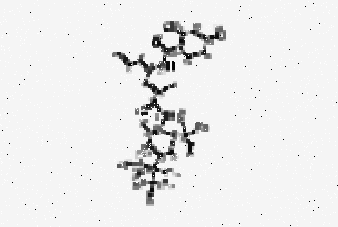 C=C/C=C(\C=C(/C)C(=O)Nc1c(I)cc(C(F)(C(F)(F)F)C(F)(F)F)cc1C(F)(F)F)NC(=O)c1ccc(Cl)cc1Cl